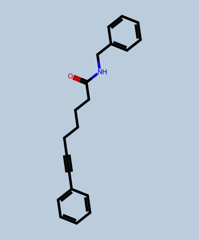 O=C(CCCCC#Cc1ccccc1)NCc1ccccc1